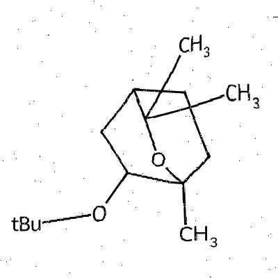 CC(C)(C)OC1CC2CCC1(C)OC2(C)C